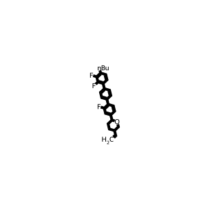 C=CC1CCC(c2ccc(-c3ccc(-c4ccc(CCCC)c(F)c4F)cc3)c(F)c2)OC1